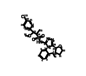 CCc1ccccc1-n1c(NS(=O)(=O)C(C)C(OC)c2ncc(Cl)cn2)nnc1[C@@H]1CCCO1